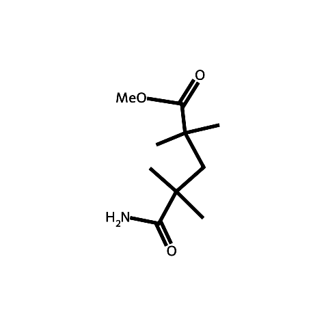 COC(=O)C(C)(C)CC(C)(C)C(N)=O